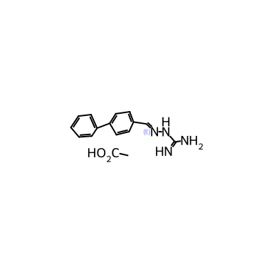 CC(=O)O.N=C(N)N/N=C/c1ccc(-c2ccccc2)cc1